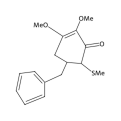 COC1=C(OC)C(=O)C(SC)C(Cc2ccccc2)C1